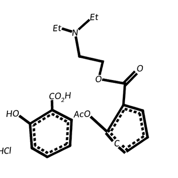 CCN(CC)CCOC(=O)c1ccccc1OC(C)=O.Cl.O=C(O)c1ccccc1O